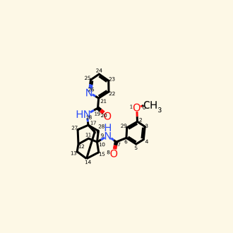 COc1cccc(C(=O)NC23CC4CC(C2)CC(NC(=O)c2ccccn2)(C4)C3)c1